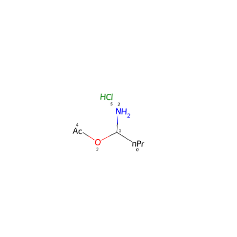 CCCC(N)OC(C)=O.Cl